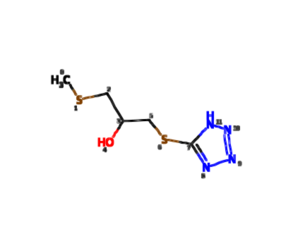 CSCC(O)CSc1nnn[nH]1